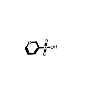 O=S(=O)(O)C1=CC=CO[CH]1